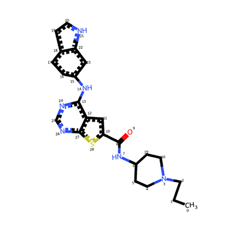 CCCN1CCC(NC(=O)c2cc3c(Nc4ccc5cc[nH]c5c4)ncnc3s2)CC1